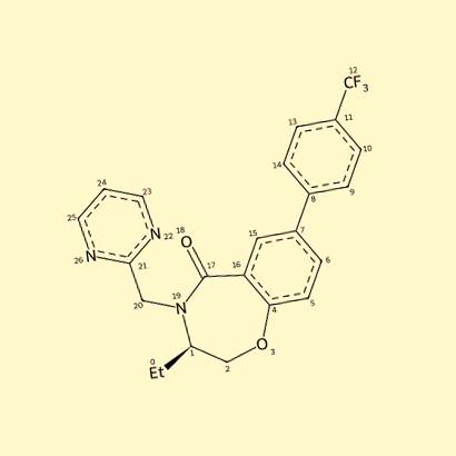 CC[C@@H]1COc2ccc(-c3ccc(C(F)(F)F)cc3)cc2C(=O)N1Cc1ncccn1